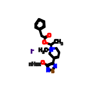 CCCCCCOc1nsnc1C1=CCC[N+](C)(C(C)OC(=O)Cc2ccccc2)C1.[I-]